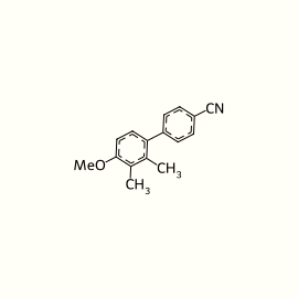 COc1ccc(-c2ccc(C#N)cc2)c(C)c1C